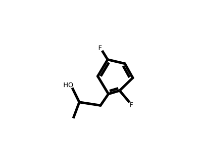 CC(O)Cc1cc(F)ccc1F